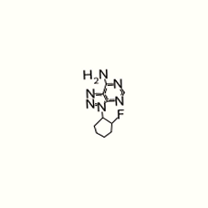 Nc1ncnc2c1nnn2C1CCCCC1F